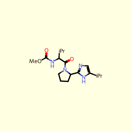 COC(=O)NC(C(=O)N1CCCC1c1ncc(C(C)C)[nH]1)C(C)C